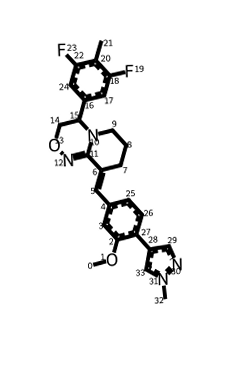 COc1cc(/C=C2\CCCN3C2=NOCC3c2cc(F)c(C)c(F)c2)ccc1-c1cnn(C)c1